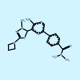 CN(C)C(=O)c1ccc(-c2cnc(N)c(C3OC(N4CCC4)=NN3C)n2)cc1